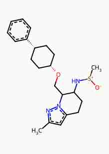 Cc1cc2n(n1)C(CO[C@H]1CC[C@@H](c3ccccc3)CC1)C(N[S+](C)[O-])CC2